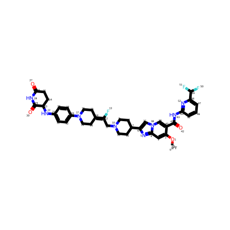 CC(C)Oc1cc2nc(C3CCN(CC(F)=C4CCN(c5ccc(NC6CCC(=O)NC6=O)cc5)CC4)CC3)cn2cc1C(=O)Nc1cccc(C(F)F)n1